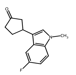 Cn1cc(C2CCC(=O)C2)c2cc(F)ccc21